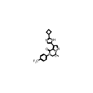 C[C@H]1CN(c2ccc(C(F)(F)F)cc2)C(=O)c2c(-c3cnc(C4CCC4)[nH]3)cnn21